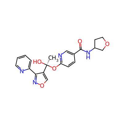 C[C@](O)(Oc1ccc(C(=O)NC2CCOC2)cn1)c1conc1-c1ccccn1